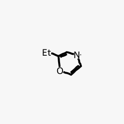 CCC1=C[N]C=CO1